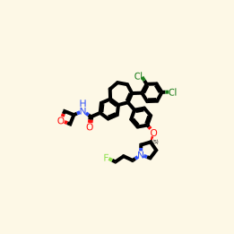 O=C(NC1COC1)c1ccc2c(c1)CCCC(c1ccc(Cl)cc1Cl)=C2c1ccc(O[C@H]2CCN(CCCF)C2)cc1